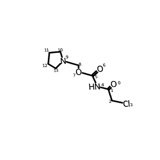 O=C(CCl)NC(=O)OCN1CCCC1